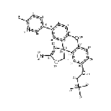 Cc1ccc(-c2ccc3c(c2)[C@]2(COC(N)=N2)c2cc(OCC(C)(C)C)ccc2O3)cn1